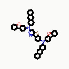 c1ccc2cc3cc(N(c4ccc5c(c4)oc4ccccc45)c4ccc5c(c4)sc4cc(N(c6ccc7cc8ccccc8cc7c6)c6ccc7c(c6)oc6ccccc67)nnc45)ccc3cc2c1